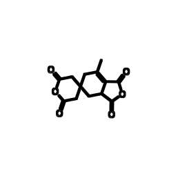 CC1=C2C(=O)OC(=O)C2CC2(CC(=O)OC(=O)C2)C1